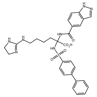 O=C(NC(CCCCNC1=NCCN1)(NS(=O)(=O)c1ccc(-c2ccccc2)cc1)C(=O)O)c1ccc2[nH]ncc2c1